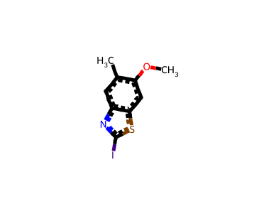 COc1cc2sc(I)nc2cc1C